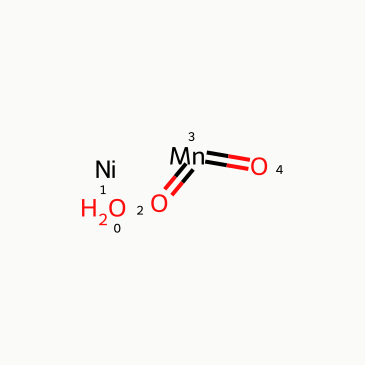 O.[Ni].[O]=[Mn]=[O]